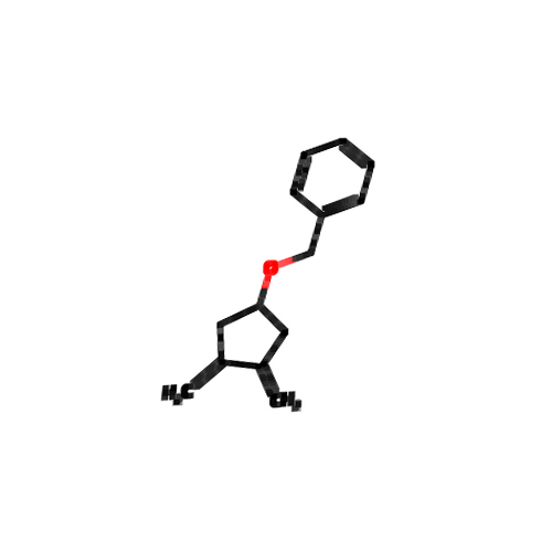 C=C1CC(OCc2ccccc2)CC1=C